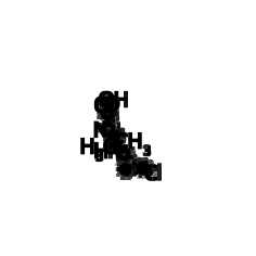 CCC(C)(Nc1ccc(/C=C(\c2ccccc2)c2ccc(Cl)cc2)cc1)c1ccc(/C=C(\C#N)c2ccc(S(=O)(=O)O)cc2)cc1